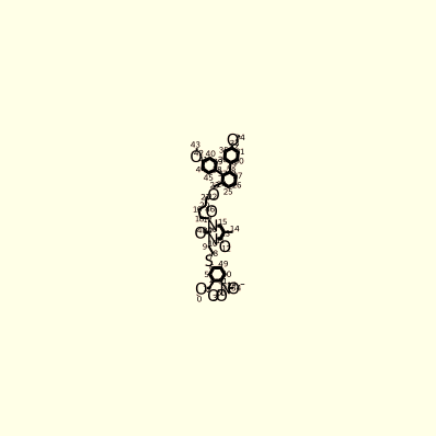 COC(=O)c1cc(SCCn2c(=O)c(C)cn(C3CCC(COCc4cccc(-c5ccc(OC)cc5)c4-c4ccc(OC)cc4)O3)c2=O)ccc1[N+](=O)[O-]